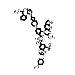 CC(C)c1ccccc1[C@@H]1CCCN1C1CC2(CCN(c3ccc(C(=O)NS(=O)(=O)c4cc5c(c([N+](=O)[O-])c4)N[C@H](C[C@H]4CC[C@H](O)CC4)CO5)c(N4C[C@H](C)Oc5nc6[nH]ccc6cc54)c3)CC2)C1